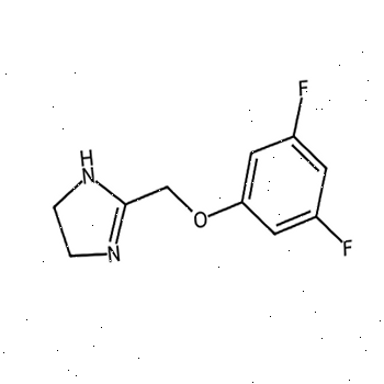 Fc1cc(F)cc(OCC2=NCCN2)c1